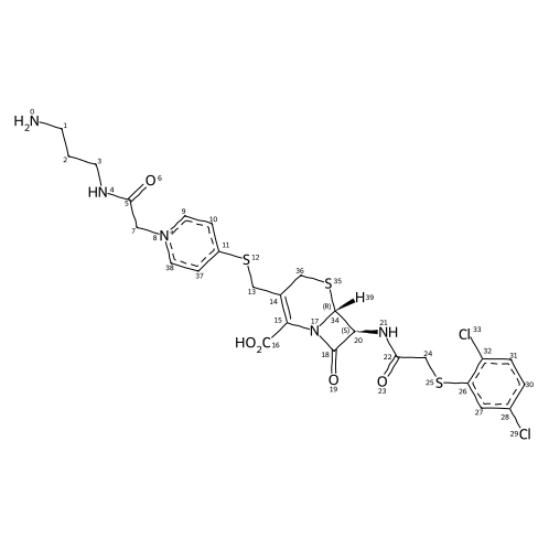 NCCCNC(=O)C[n+]1ccc(SCC2=C(C(=O)O)N3C(=O)[C@H](NC(=O)CSc4cc(Cl)ccc4Cl)[C@H]3SC2)cc1